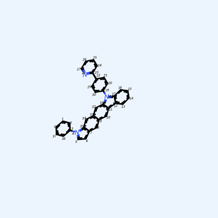 c1ccc(-n2ccc3cc4cc5c6ccccc6n(-c6ccc(-c7ccccn7)cc6)c5cc4cc32)cc1